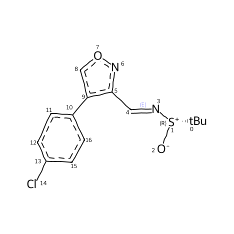 CC(C)(C)[S@+]([O-])/N=C/c1nocc1-c1ccc(Cl)cc1